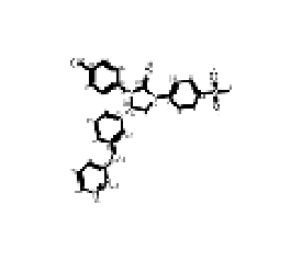 CS(=O)(=O)c1ccc(N2C[C@H](c3cccc(Oc4cccnn4)c3)N(c3ccc(Cl)cc3)C2=O)cc1